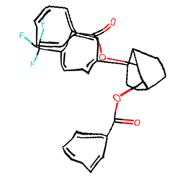 O=C(OC1C2CCC(C(c3ccc(C(F)(F)F)cc3)C2)C1OC(=O)c1ccccc1)c1ccccc1